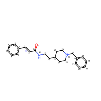 O=C(/C=C/c1ccccc1)NCCC1CCN(Cc2ccccc2)CC1